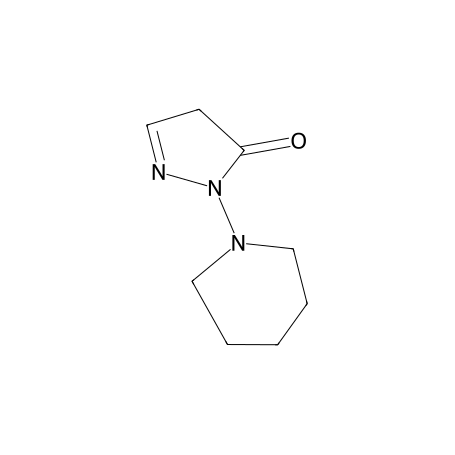 O=C1CC=NN1N1CCCCC1